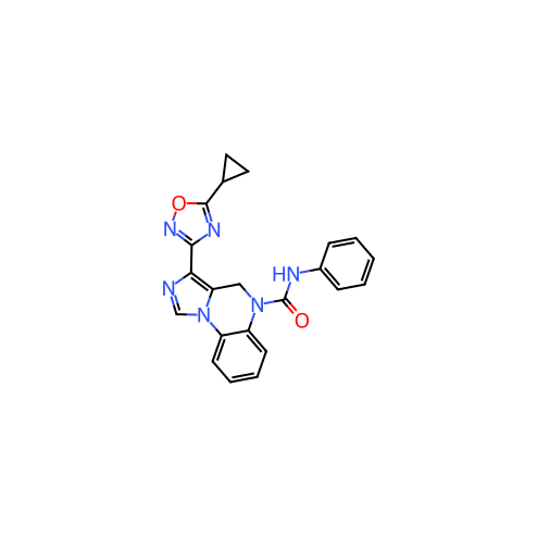 O=C(Nc1ccccc1)N1Cc2c(-c3noc(C4CC4)n3)ncn2-c2ccccc21